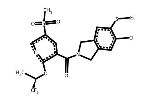 CCSc1cc2c(cc1Cl)CN(C(=O)c1cc(S(C)(=O)=O)ccc1O[C@H](C)C(F)(F)F)C2